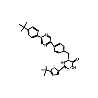 CC(C)(C)c1ccc(-c2cnc(-c3ccc(C[C@H](NC(=O)c4ccc(C(C)(C)C)s4)C(=O)O)cc3)cn2)cc1